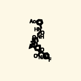 CNC(=O)c1c(-c2ccc(F)cc2)oc2cc(N(CC(=O)NCC(=O)NCc3cccc(C(C)=O)c3)S(C)(=O)=O)c(C3CC3)cc12